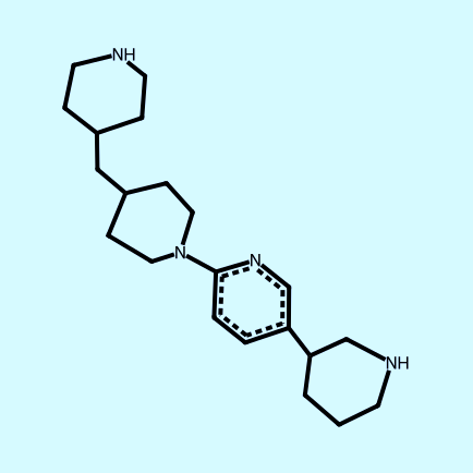 c1cc(N2CCC(CC3CCNCC3)CC2)ncc1C1CCCNC1